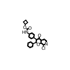 O=C(Nc1ccc(-c2c(-c3ccccc3)oc3c(Cl)nccc3c2=O)cc1)OC1CCC1